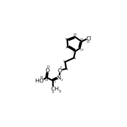 C/C(=N/OCCCc1cccc(Cl)c1)C(=O)O